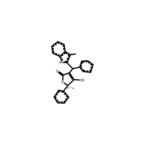 Cc1c(C(C2=C(O)[C@@](C)(c3ccccc3)OC2=O)c2ccccc2)[nH]c2ccccc12